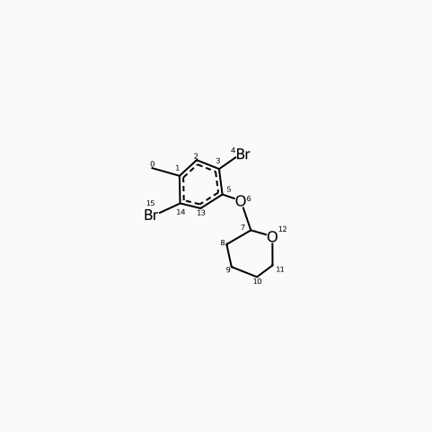 Cc1cc(Br)c(OC2CCCCO2)cc1Br